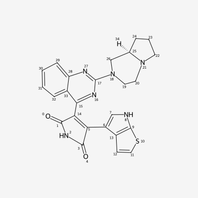 O=C1NC(=O)C(c2c[nH]c3sccc23)=C1c1nc(N2CCN3CCC[C@@H]3C2)nc2ccccc12